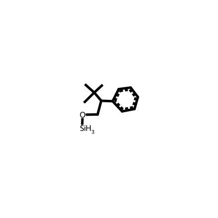 CC(C)(C)C(CO[SiH3])c1ccccc1